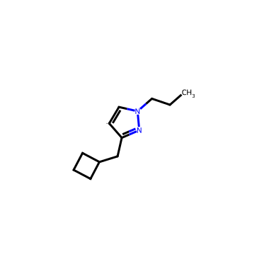 CCCn1c[c]c(CC2CCC2)n1